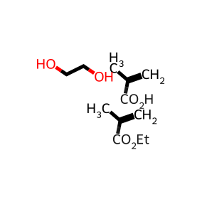 C=C(C)C(=O)O.C=C(C)C(=O)OCC.OCCO